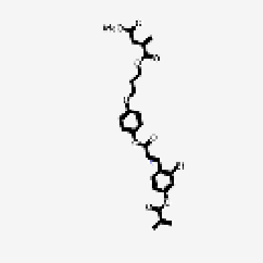 C=C(C)C(=O)Oc1ccc(/C=C/C(=O)Oc2ccc(OCCCOC(=O)C(=C)CC(=O)OC)cc2)c(CC)c1